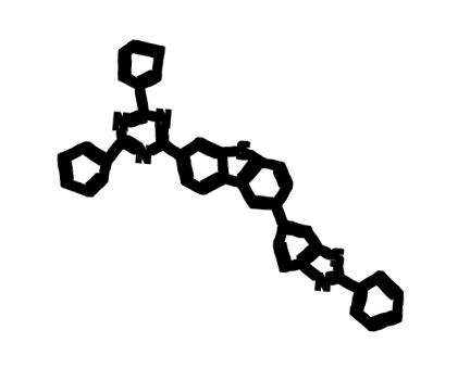 c1ccc(-c2nc(-c3ccccc3)nc(-c3ccc4c(c3)sc3ccc(-c5ccc6nc(-c7ccccc7)sc6c5)cc34)n2)cc1